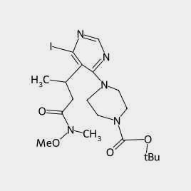 CON(C)C(=O)CC(C)c1c(I)ncnc1N1CCN(C(=O)OC(C)(C)C)CC1